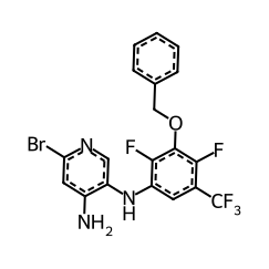 Nc1cc(Br)ncc1Nc1cc(C(F)(F)F)c(F)c(OCc2ccccc2)c1F